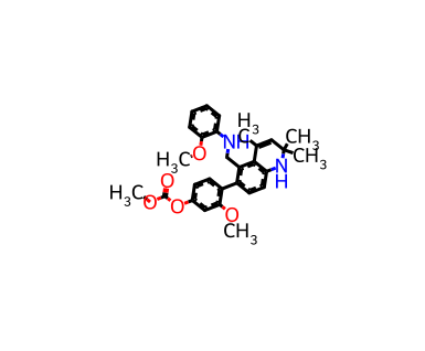 COC(=O)Oc1ccc(-c2ccc3c(c2CNc2ccccc2OC)C(C)=CC(C)(C)N3)c(OC)c1